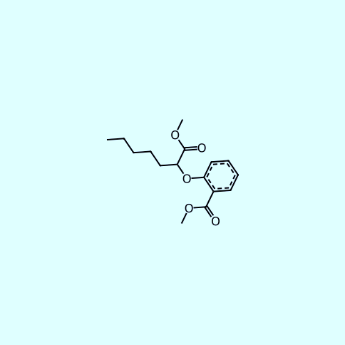 CCCCCC(Oc1ccccc1C(=O)OC)C(=O)OC